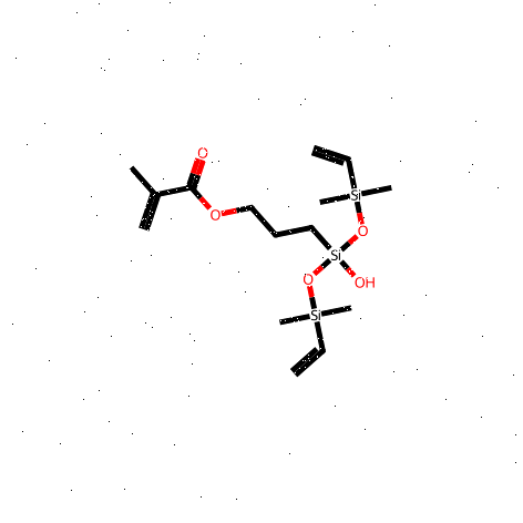 C=C[Si](C)(C)O[Si](O)(CCCOC(=O)C(=C)C)O[Si](C)(C)C=C